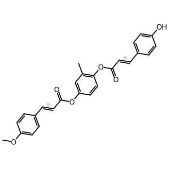 COc1ccc(/C=C/C(=O)Oc2ccc(OC(=O)/C=C/c3ccc(O)cc3)c(C)c2)cc1